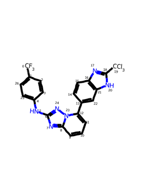 FC(F)(F)c1ccc(Nc2nc3cccc(-c4ccc5nc(C(Cl)(Cl)Cl)[nH]c5c4)n3n2)cc1